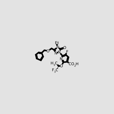 CCn1c(COCc2ccccc2)nn(-c2nc(O[C@@H](C)C(F)(F)F)c(C(=O)O)cc2F)c1=O